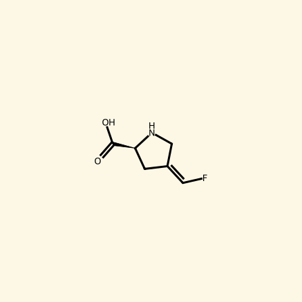 O=C(O)[C@@H]1C/C(=C/F)CN1